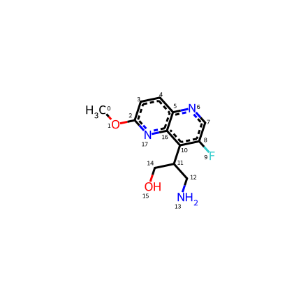 COc1ccc2ncc(F)c(C(CN)CO)c2n1